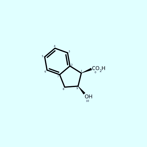 O=C(O)[C@@H]1c2ccccc2C[C@@H]1O